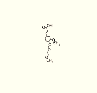 COCCOCOc1ccc(/C=C/C(=O)O)cc1OC